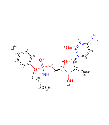 CCOC(=O)[C@H](C)NP(=O)(OC[C@H]1O[C@@H](n2ccc(N)nc2=O)C(OC)C1O)Oc1ccc(Cl)cc1